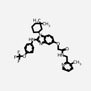 Cc1cccnc1CNC(=O)COc1ccc2c(c1)nc(Nc1ccc(OC(F)(F)F)cc1)n2C1CCCC(C)(C)C1